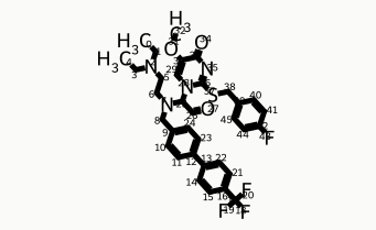 CCN(CC)CCN(Cc1ccc(-c2ccc(C(F)(F)F)cc2)cc1)C(C=O)n1cc(OC)c(=O)nc1SCc1ccc(F)cc1